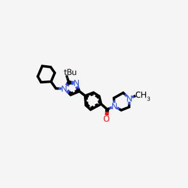 CN1CCN(C(=O)c2ccc(-c3cn(CC4CCCCC4)c(C(C)(C)C)n3)cc2)CC1